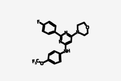 Fc1ccc(-c2nc(Nc3ccc(OC(F)(F)F)cc3)cc(N3CCOCC3)n2)cc1